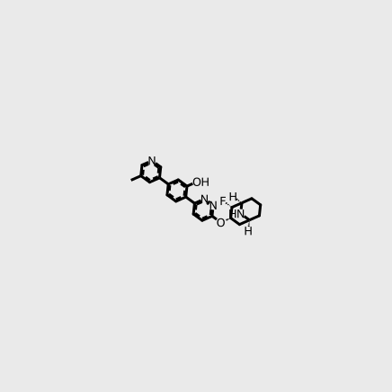 Cc1cncc(-c2ccc(-c3ccc(O[C@H]4C[C@@H]5CCC[C@@H](N5)[C@H]4F)nn3)c(O)c2)c1